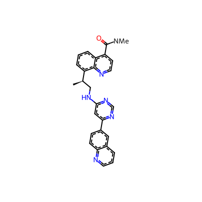 CNC(=O)c1ccnc2c([C@H](C)CNc3cc(-c4ccc5ncccc5c4)ncn3)cccc12